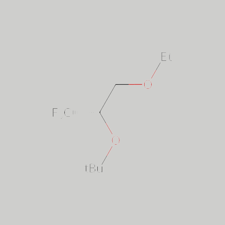 CCOC[C@H](OC(C)(C)C)C(F)(F)F